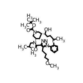 CCCCC(O)[C@@H]1C[C@H](N(CC(C)C)C(=O)c2nnn(-c3ccccc3F)c2CCCCOC)CN(C(=O)OC(C)(C)C)C1